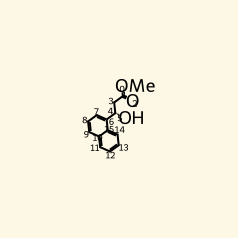 COC(=O)C[C@H](O)c1cccc2ccccc12